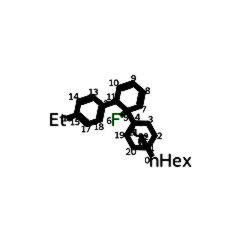 CCCCCCC12CCC(C3(F)C=CC=CC3c3ccc(CC)cc3)(CC1)CC2